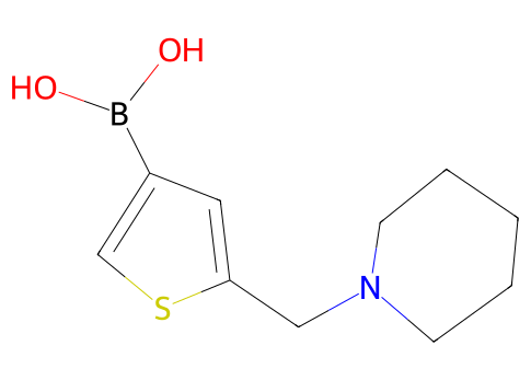 OB(O)c1csc(CN2CCCCC2)c1